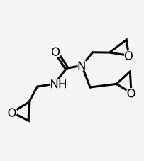 O=C(NCC1CO1)N(CC1CO1)CC1CO1